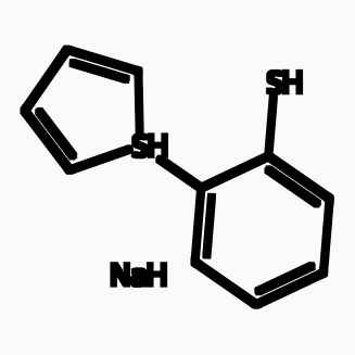 Sc1ccccc1[SH]1C=CC=C1.[NaH]